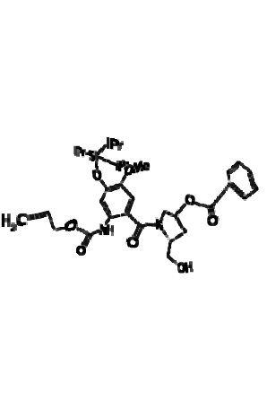 C=CCOC(=O)Nc1cc(O[Si](C(C)C)(C(C)C)C(C)C)c(OC)cc1C(=O)N1CC(OC(=O)c2ccccc2)CC1CO